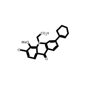 COc1c(Cl)ccc2c(=O)c3ccc(C4=CCCCC4)cc3n(CC(=O)O)c12